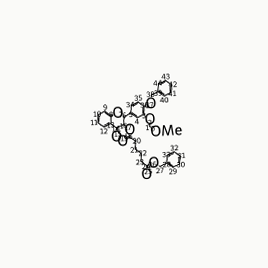 COCOc1cc(C2Oc3ccccc3C(=O)C2OC(=O)CCCCC(=O)OCc2ccccc2)ccc1OCc1ccccc1